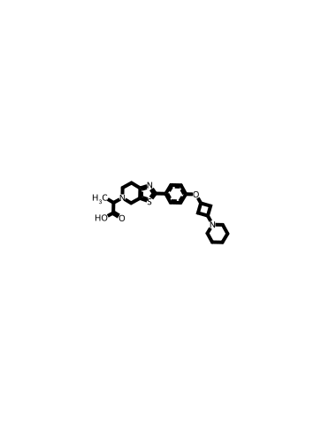 CC(C(=O)O)N1CCc2nc(-c3ccc(OC4CC(N5CCCCC5)C4)cc3)sc2C1